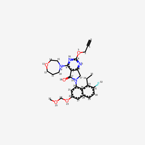 C#CCOc1nc2c(c(N3CCCOCC3)n1)C(=O)N(c1cc(OCOC)cc3ccc(F)c(CC)c13)C2